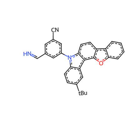 CC(C)(C)c1ccc2c(c1)c1c3oc4ccccc4c3ccc1n2-c1cc(C#N)cc(C=N)c1